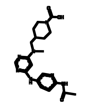 CC(=O)Nc1ccc(Nc2cc(N(C)CC3CCN(C(=O)O)CC3)ncn2)cn1